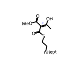 CCCCCCCCCSC(=O)/C(C(=O)OC)=C(\C)O